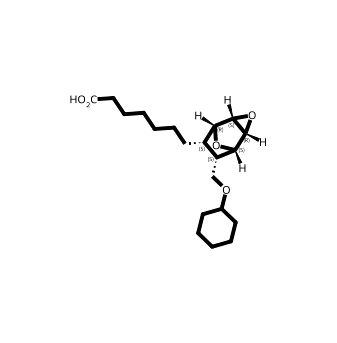 O=C(O)CCCCCC[C@H]1[C@@H](COC2CCCCC2)[C@@H]2O[C@H]1[C@@H]1O[C@@H]12